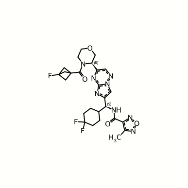 Cc1nonc1C(=O)N[C@H](c1cn2ncc([C@@H]3COCCN3C(=O)C34CC(F)(C3)C4)nc2n1)C1CCC(F)(F)CC1